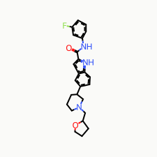 O=C(Nc1cccc(F)c1)c1cc2cc(C3CCCN(CC4CCCO4)C3)ccc2[nH]1